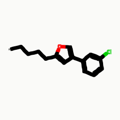 [CH2]CCCCc1cc(-c2cccc(Cl)c2)co1